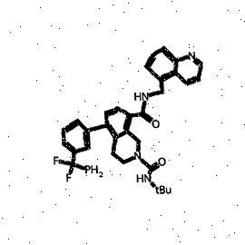 CC(C)(C)NC(=O)N1CCc2c(-c3cccc(C(F)(F)P)c3)ccc(C(=O)NCc3cccc4ncccc34)c2C1